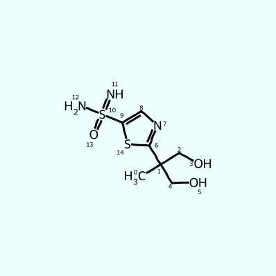 CC(CO)(CO)c1ncc(S(=N)(N)=O)s1